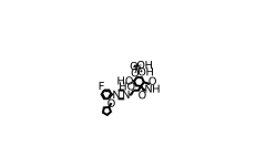 O=C1NC(=O)C2(CC(O)CN3CCN(c4cc(F)ccc4OC4CCCC4)CC3)CC(O)C(OP(=O)(O)O)CC12